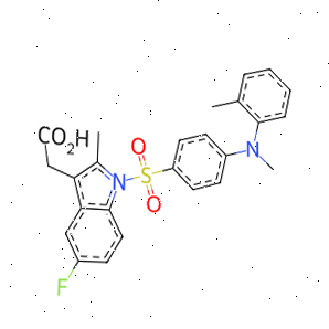 Cc1ccccc1N(C)c1ccc(S(=O)(=O)n2c(C)c(CC(=O)O)c3cc(F)ccc32)cc1